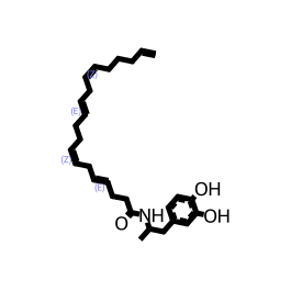 C=CCCC/C=C\C/C=C/CC/C=C\C/C=C/CCC(=O)NC(C)Cc1ccc(O)c(O)c1